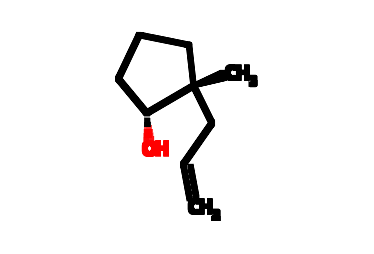 C=CC[C@@]1(C)CCC[C@H]1O